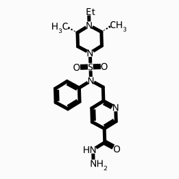 CCN1[C@H](C)CN(S(=O)(=O)N(Cc2ccc(C(=O)NN)cn2)c2ccccc2)C[C@@H]1C